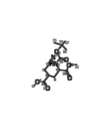 COC(=O)C(CC#N)CC(NC(=O)OC(C)(C)C)C(=O)OC